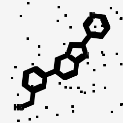 OCc1cccc(-c2ccc3nc(-c4cccnc4)cn3c2)c1